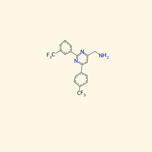 NCc1cc(-c2ccc(C(F)(F)F)cc2)nc(-c2cccc(C(F)(F)F)c2)n1